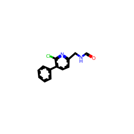 O=CNCc1ccc(-c2ccccc2)c(Cl)n1